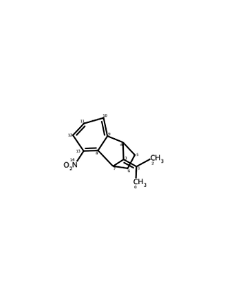 CC(C)=C1C2CCC1c1c2cccc1[N+](=O)[O-]